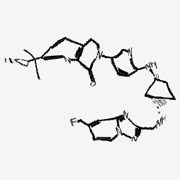 CC(C)(O)c1ccc2c(n1)C(=O)N(c1ccc(N[C@H]3CC[C@H](Nc4nc5cc(F)ccn5n4)C3)nc1)C2